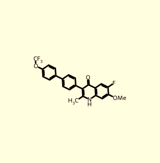 COc1cc2[nH]c(C)c(-c3ccc(-c4ccc(OC(F)(F)F)cc4)cc3)c(=O)c2cc1F